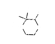 ClC1OCCOC1(Cl)Cl.[B]